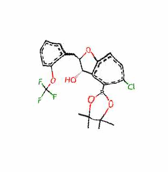 CC1(C)OB(c2c(Cl)ccc3c2[C@H](O)[C@@H](c2ccccc2OC(F)(F)F)O3)OC1(C)C